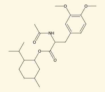 COc1ccc(CC(NC(C)=O)C(=O)OC2CC(C)CCC2C(C)C)cc1OC